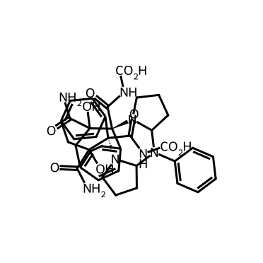 NC(=O)C1(O)Cc2ccc(cc2)[C@]1(C(=O)NC(=O)O)N1CCCC1N(c1ccccc1)C1CCCN1[C@@]1(C(=O)NC(=O)O)c2ccc(cc2)CC1(O)C(N)=O